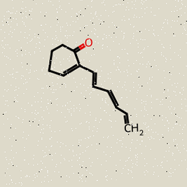 C=CC=CC=CC1=CCCCC1=O